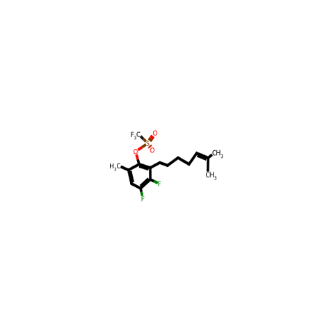 CC(C)=CCCCCc1c(F)c(F)cc(C)c1OS(=O)(=O)C(F)(F)F